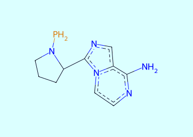 Nc1nccn2c(C3CCCN3P)ncc12